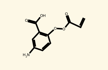 C=CC(=O)OOc1ccc(N)cc1C(=O)O